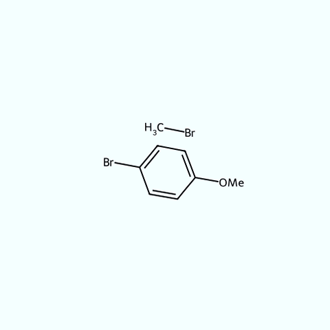 CBr.COc1ccc(Br)cc1